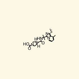 CSc1nc(C(C)(C)NC(=O)C2[C@H]3CN(C(=O)O)C[C@@H]23)n2cccc(C)c12